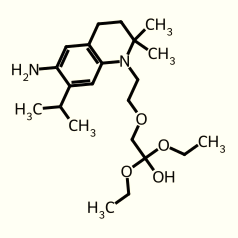 CCOC(O)(COCCN1c2cc(C(C)C)c(N)cc2CCC1(C)C)OCC